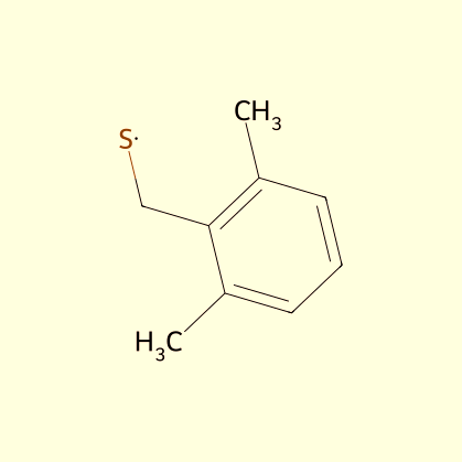 Cc1cccc(C)c1C[S]